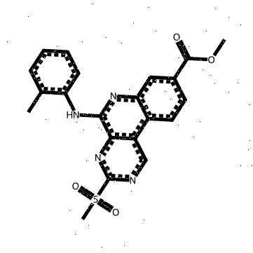 COC(=O)c1ccc2c(c1)nc(Nc1ccccc1C)c1nc(S(C)(=O)=O)ncc12